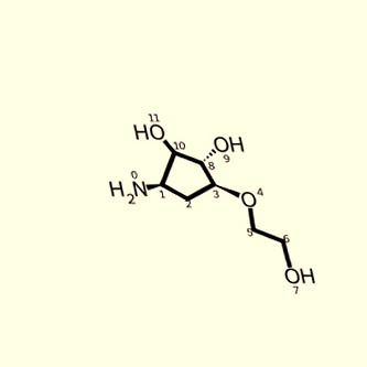 N[C@@H]1C[C@H](OCCO)[C@@H](O)C1O